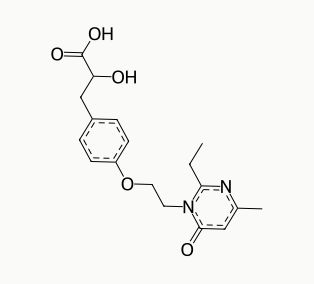 CCc1nc(C)cc(=O)n1CCOc1ccc(CC(O)C(=O)O)cc1